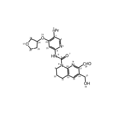 CCCc1cnc(NC(=O)N2CCCc3cc(CO)c(C=O)nc32)cc1OC1CCOC1